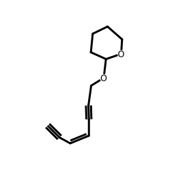 C#C/C=C\C#CCOC1CCCCO1